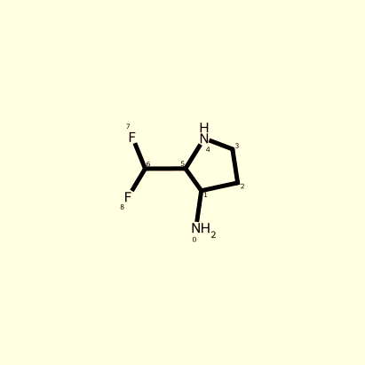 NC1CCNC1C(F)F